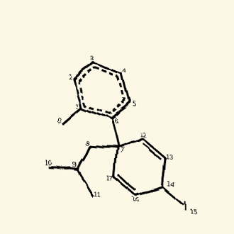 Cc1ccccc1C1(CC(C)C)C=CC(I)C=C1